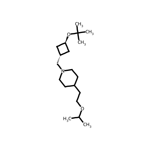 CC(C)OCCC1CCN(C[C@H]2C[C@H](OC(C)(C)C)C2)CC1